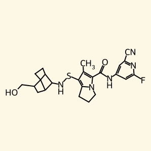 Cc1c(SNC2C3CCC34C(CO)CC24)c2n(c1C(=O)Nc1cc(F)nc(C#N)c1)CCC2